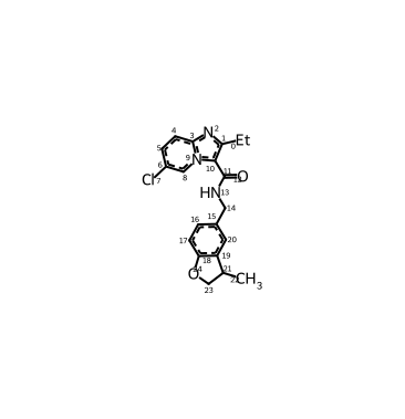 CCc1nc2ccc(Cl)cn2c1C(=O)NCc1ccc2c(c1)C(C)CO2